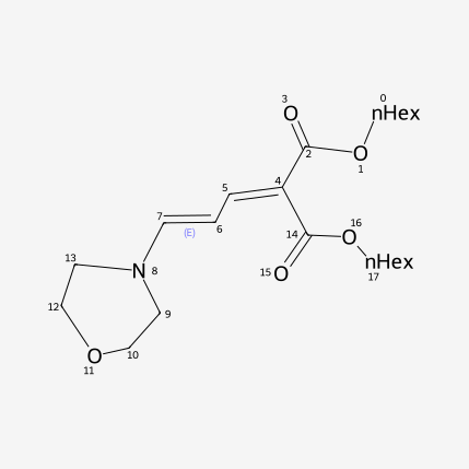 CCCCCCOC(=O)C(=C/C=C/N1CCOCC1)C(=O)OCCCCCC